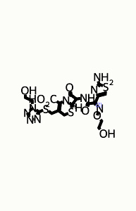 Nc1nc(/C(=N/OCCO)C(=O)NC2C(=O)N3C(C(=O)O)=C(CSc4nnnn4CCO)CS[C@H]23)cs1